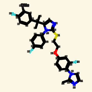 COc1cc(C(C)(C)c2cnc(SCCOc3ccc(-n4ccnc4C)c(F)c3)n2-c2ccc(F)cc2)ccc1F